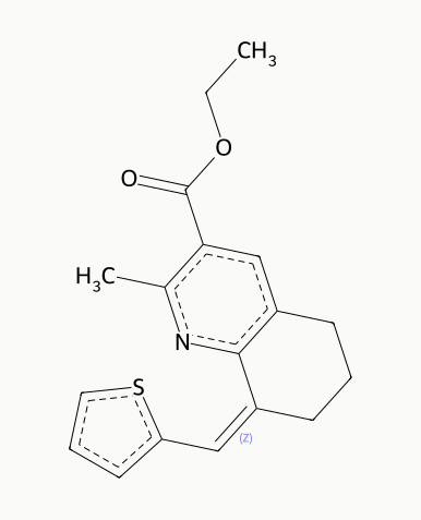 CCOC(=O)c1cc2c(nc1C)/C(=C\c1cccs1)CCC2